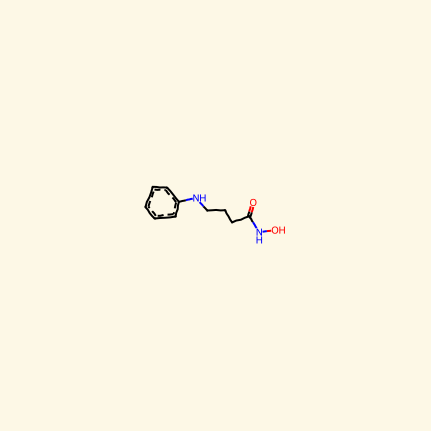 O=C(CCCNc1ccccc1)NO